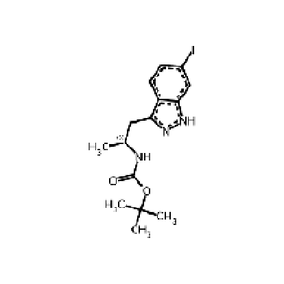 C[C@@H](Cc1n[nH]c2cc(I)ccc12)NC(=O)OC(C)(C)C